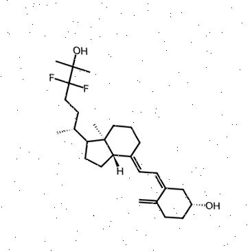 C=C1CC[C@@H](O)C/C1=C/C=C1\CCC[C@]2(C)C([C@H](C)CCC(F)(F)C(C)(C)O)CC[C@@H]12